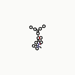 C=C/C=C1\C(=C/C)c2c(N(c3ccc(-c4ccc(N(c5ccc(-c6ccccc6)cc5)c5ccc(-c6ccccc6)cc5)cc4)cc3)c3ccccc3-c3ccccc3)cccc2C12c1ccccc1-c1ccccc12